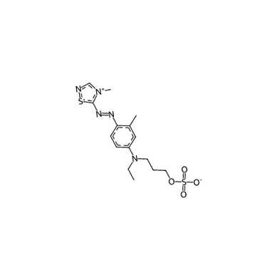 CCN(CCCOS(=O)(=O)[O-])c1ccc(N=Nc2snc[n+]2C)c(C)c1